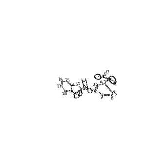 CS(=O)(=O)c1cccc(ONC(=O)Cc2ccccc2Cl)c1